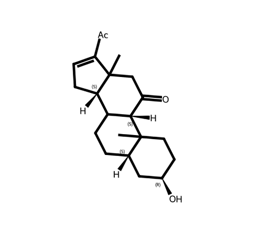 CC(=O)C1=CC[C@H]2C3CC[C@H]4C[C@H](O)CCC4(C)[C@H]3C(=O)CC12C